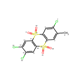 Cc1cc2c(cc1Cl)S(=O)(=O)c1cc(Cl)c(Cl)cc1S2(=O)=O